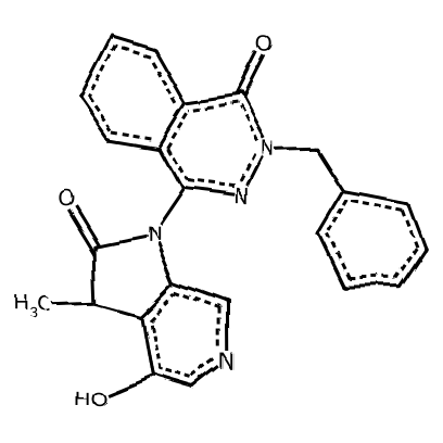 CC1C(=O)N(c2nn(Cc3ccccc3)c(=O)c3ccccc23)c2cncc(O)c21